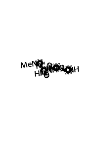 CNc1cccc(-c2c[nH]c(=O)c(NC(=O)c3ccc(OCC4CCNCC4)cc3)c2)n1